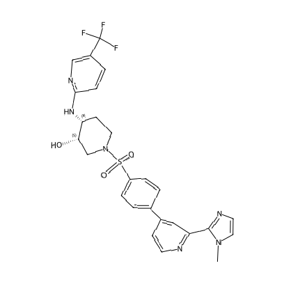 Cn1ccnc1-c1cc(-c2ccc(S(=O)(=O)N3CC[C@@H](Nc4ccc(C(F)(F)F)cn4)[C@@H](O)C3)cc2)ccn1